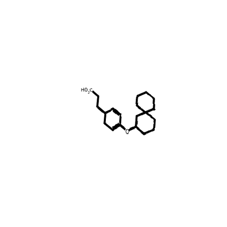 O=C(O)CCC1C=CC(OC2CCCC3(CCCCC3)C2)=CC1